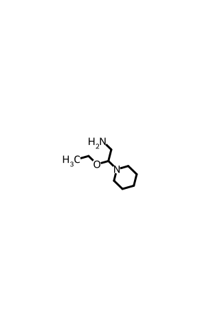 CCOC(CN)N1CCCCC1